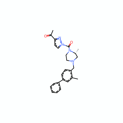 CC(=O)c1ccn(C(=O)N2CCN(Cc3ccc(-c4ccccc4)cc3C)C[C@H]2C)n1